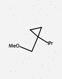 COCC1(C(C)C)CC1